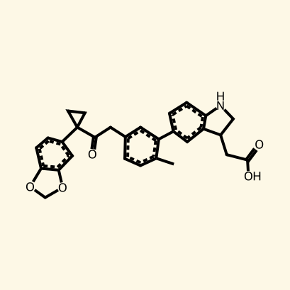 Cc1ccc(CC(=O)C2(c3ccc4c(c3)OCO4)CC2)cc1-c1ccc2c(c1)C(CC(=O)O)CN2